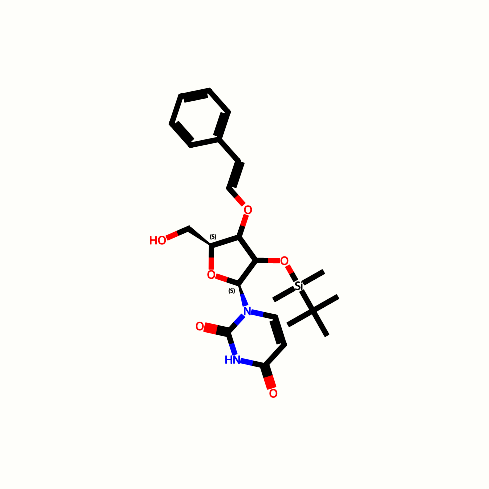 CC(C)(C)[Si](C)(C)OC1C(OC=Cc2ccccc2)[C@H](CO)O[C@@H]1n1ccc(=O)[nH]c1=O